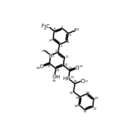 Cn1c(-c2cc(F)cc(C(F)(F)F)c2)cc(C(=O)NC(Cl)Cc2ccccc2)c(O)c1=O